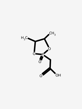 CC1OP(=O)(CC(=O)O)OC1C